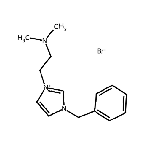 CN(C)CC[n+]1ccn(Cc2ccccc2)c1.[Br-]